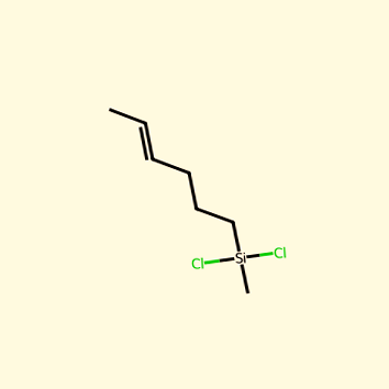 CC=CCCC[Si](C)(Cl)Cl